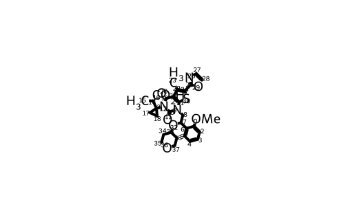 COc1ccccc1C(Cn1c(=O)n(C2(C(C)C(=O)O)CC2)c(=O)c2c(C)c(-c3ncco3)sc21)OC1CCOCC1